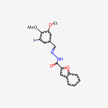 CCOc1cc(/C=N/NC(=O)c2cc3ccccc3o2)cc(I)c1OC